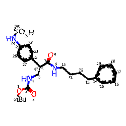 CC(C)(C)OC(=O)NC[C@H](C(=O)NCCCCc1ccccc1)c1ccc(NS(=O)(=O)O)cc1